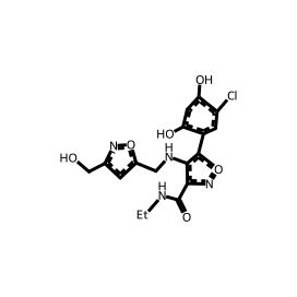 CCNC(=O)c1noc(-c2cc(Cl)c(O)cc2O)c1NCc1cc(CO)no1